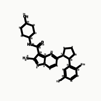 Nc1nn2ccc(N3CCCC3c3cc(F)ccc3F)nc2c1C(=O)NC1CCC(O)CC1